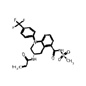 C=CC(=O)N[C@H]1Cc2c(C(=O)NS(C)(=O)=O)cccc2N(c2ccc(C(F)(F)F)cc2)C1